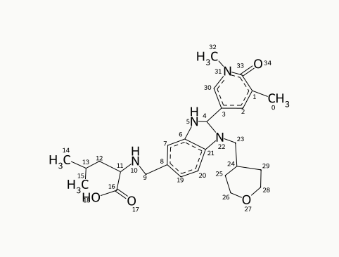 Cc1cc(C2Nc3cc(CNC(CC(C)C)C(=O)O)ccc3N2CC2CCOCC2)cn(C)c1=O